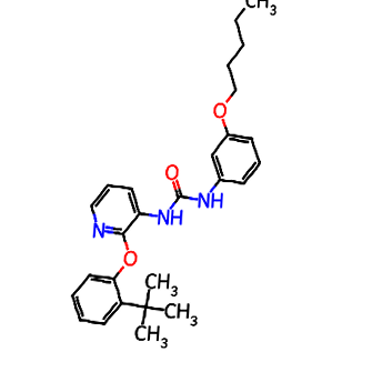 CCCCCOc1cccc(NC(=O)Nc2cccnc2Oc2ccccc2C(C)(C)C)c1